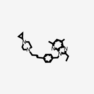 CCc1nc2c(C)cc(C)nc2n1Cc1ccc(C=CCN2CCN(C3CC3)CC2)cc1